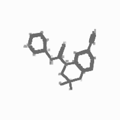 CC1(C)Cc2ccc(C#N)cc2N(C(=O)Nc2cccnc2)C1